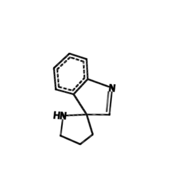 C1=Nc2ccccc2C12CCCN2